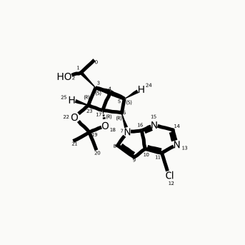 CC(O)[C@@]12C3[C@@H]1[C@@H](n1ccc4c(Cl)ncnc41)[C@]31OC(C)(C)O[C@@H]12